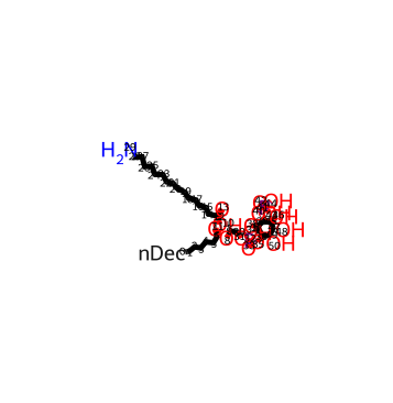 CCCCCCCCCCCCCCCC(=O)O[C@H](COC(=O)CCCCCCCCCCCCCCCN)COP(=O)(O)OC1C(O)[C@H](OP(=O)(O)O)C(O)[C@H](O)[C@@H]1O